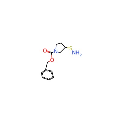 NSC1CCN(C(=O)OCc2ccccc2)C1